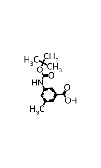 Cc1cc(NC(=O)OC(C)(C)C)cc(C(=O)O)c1